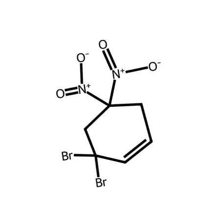 O=[N+]([O-])C1([N+](=O)[O-])CC=CC(Br)(Br)C1